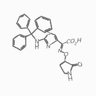 O=C(O)/C(=N\O[C@@H]1CCNC1=O)c1csc(NC(c2ccccc2)(c2ccccc2)c2ccccc2)n1